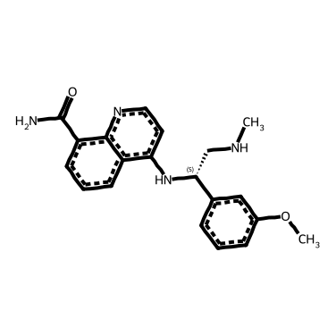 CNC[C@@H](Nc1ccnc2c(C(N)=O)cccc12)c1cccc(OC)c1